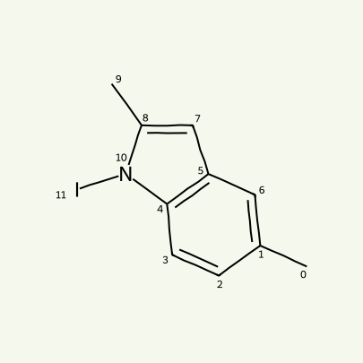 Cc1ccc2c(c1)cc(C)n2I